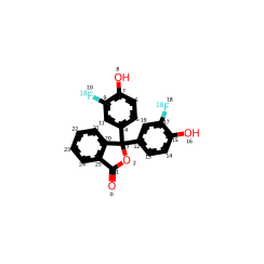 O=C1OC(c2ccc(O)c([18F])c2)(c2ccc(O)c([18F])c2)c2ccccc21